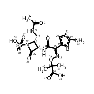 CC(=O)NC[C@@H]1[C@H](NC(=O)C(=NOC(C)(C)C(=O)O)c2csc(N)n2)C(=O)N1S(=O)(=O)O